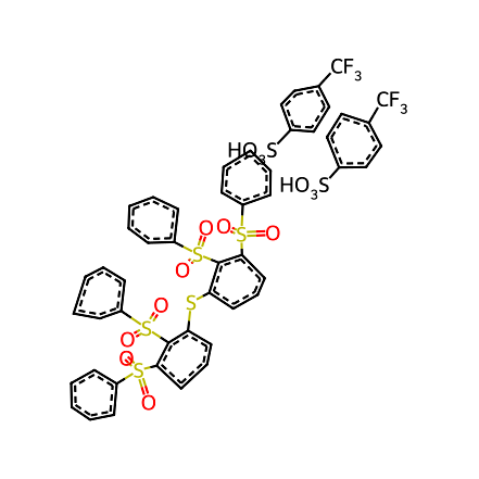 O=S(=O)(O)c1ccc(C(F)(F)F)cc1.O=S(=O)(O)c1ccc(C(F)(F)F)cc1.O=S(=O)(c1ccccc1)c1cccc(Sc2cccc(S(=O)(=O)c3ccccc3)c2S(=O)(=O)c2ccccc2)c1S(=O)(=O)c1ccccc1